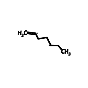 C=[C]CC[CH]CC